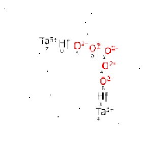 [Hf].[Hf].[O-2].[O-2].[O-2].[O-2].[O-2].[Ta+5].[Ta+5]